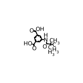 CC(C)(C)C(=O)Nc1cc(C(=O)O)cc(C(=O)O)c1